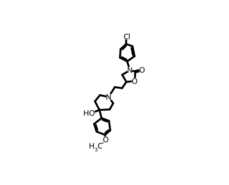 COc1ccc(C2(O)CCN(CCC3CN(c4ccc(Cl)cc4)C(=O)O3)CC2)cc1